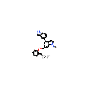 CCOC(=O)Cc1ccccc1OCc1cc(-c2cccc(CN)c2)c2ccn(C(C)C)c2c1